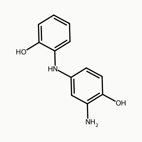 Nc1cc(Nc2ccccc2O)ccc1O